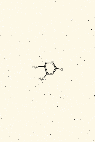 [CH2]c1cnc(Cl)cc1C